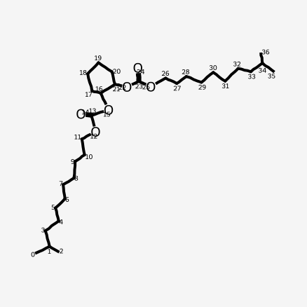 CC(C)CCCCCCCCCOC(=O)OC1CCCCC1OC(=O)OCCCCCCCCC(C)C